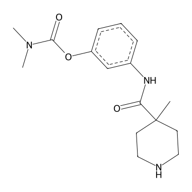 CN(C)C(=O)Oc1cccc(NC(=O)C2(C)CCNCC2)c1